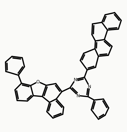 c1ccc(-c2nc(-c3ccc4c(ccc5c6ccccc6ccc45)c3)nc(-c3cc4oc5c(-c6ccccc6)cccc5c4c4ccccc34)n2)cc1